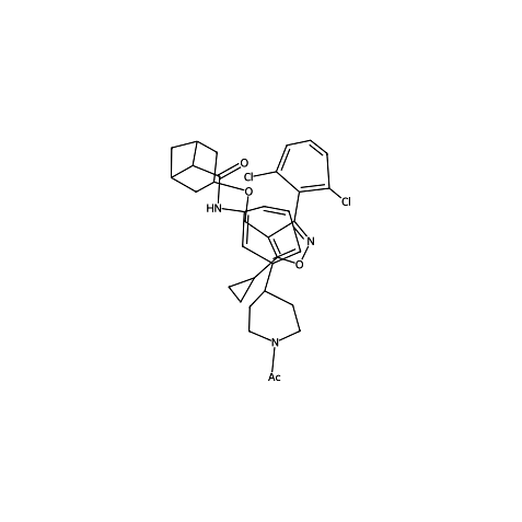 CC(=O)N1CCC(c2cccc(NC(=O)C3C4CC(OCc5c(-c6c(Cl)cccc6Cl)noc5C5CC5)CC3C4)c2)CC1